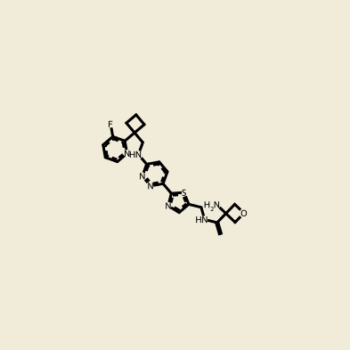 C=C(NCc1cnc(-c2ccc(NCC3(c4ncccc4F)CCC3)nn2)s1)C1(N)COC1